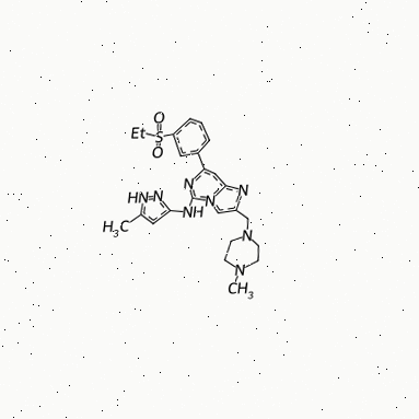 CCS(=O)(=O)c1cccc(-c2cc3nc(CN4CCN(C)CC4)cn3c(Nc3cc(C)[nH]n3)n2)c1